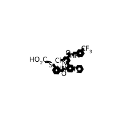 O=C(O)CCSCc1cccc(C(=O)Nc2ccc(N3CCCCC3)cc2-c2cc(C(=O)NCc3cccc(C(F)(F)F)c3)cc(Cl)n2)c1